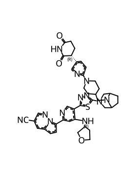 N#Cc1cnn2c(-c3cc(N[C@@H]4CCOC4)c(-c4nnc(N5CC6CCC(C5)N6CC5CCN(c6ccc([C@H]7CCC(=O)NC7=O)cn6)CC5)s4)cn3)ccc2c1